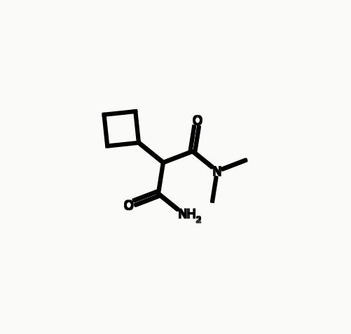 CN(C)C(=O)C(C(N)=O)C1CCC1